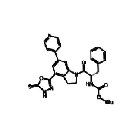 CC(C)(C)OC(=O)N[C@@H](Cc1ccccc1)C(=O)N1CCc2c(-c3n[nH]c(=S)o3)cc(-c3ccncc3)cc21